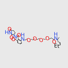 CC/C=C\CC(C)NC(=O)CCOCCOCCOCCOCCNc1cccc2c1C(=O)N(C1CCC(=O)NC1=O)C2=O